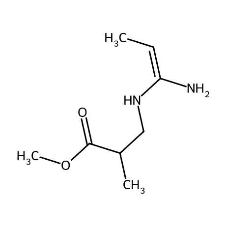 CC=C(N)NCC(C)C(=O)OC